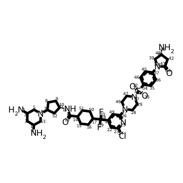 NC1CC(N)CN(C2CC[C@H](NC(=O)C3CCC(C(F)(F)c4cc(Cl)nc(N5CCN(S(=O)(=O)c6ccc(N7C[C@H](N)CC7=O)cc6)CC5)c4)CC3)C2)C1